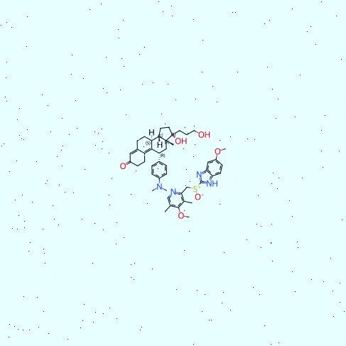 CN(C)c1ccc([C@H]2C[C@]3(C)[C@@H](CC[C@]3(O)CCCO)[C@@H]3CCC4=CC(=O)CCC4=C32)cc1.COc1ccc2[nH]c([S+]([O-])Cc3ncc(C)c(OC)c3C)nc2c1